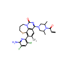 C=CC(=O)N1C(C)CN(c2nc(=O)n3c4c(c(-c5nc(N)c(F)cc5F)c(C(F)(F)F)cc24)SCCC3)CC1C